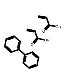 C=CC(=O)O.C=CC(=O)O.c1ccc(-c2ccccc2)cc1